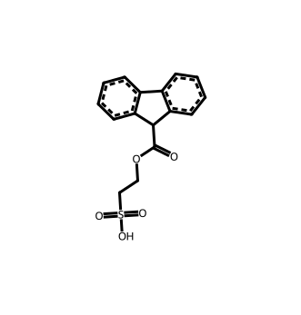 O=C(OCCS(=O)(=O)O)C1c2ccccc2-c2ccccc21